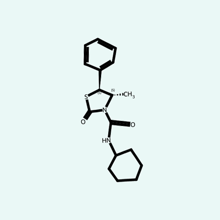 C[C@H]1[C@H](c2ccccc2)SC(=O)N1C(=O)NC1CCCCC1